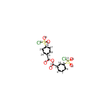 O=C(OC(=O)c1cccc(S(=O)(=O)Cl)c1)c1ccc(S(=O)(=O)Cl)cc1